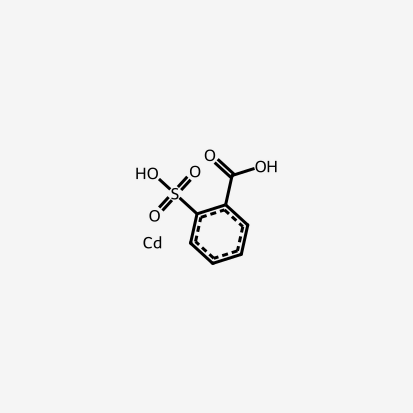 O=C(O)c1ccccc1S(=O)(=O)O.[Cd]